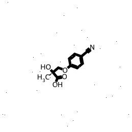 C[C@](O)(COc1ccc(C#N)cc1)C(=O)O